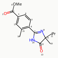 COC(=O)c1ccc(C2=NC(C)(C(C)C)C(=O)N2)c(C)c1